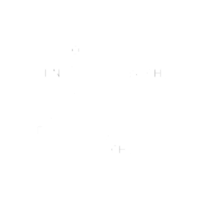 COc1ccc(OC)c(/C=C2/C(=O)Nc3cc(F)ccc32)c1